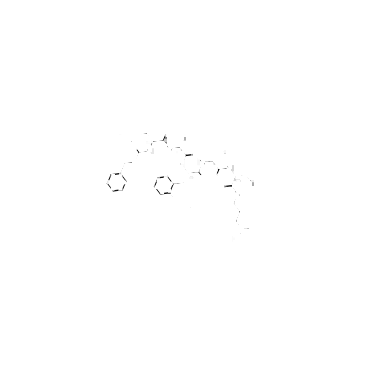 Cc1ccccc1C[C@H](NC(=O)[C@H](NC(=O)[C@H](CC(=O)O)NC(=O)OCc1ccccc1)C(C)C)C(=O)N[C@H](C(=O)N[C@@H](CC(C)C)C(=O)NCCCB(O)O)C(C)(C)C